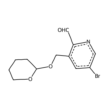 O=Cc1ncc(Br)cc1COC1CCCCO1